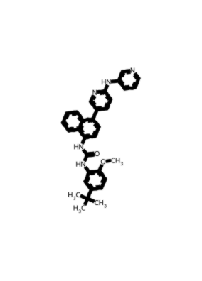 COc1ccc(C(C)(C)C)cc1NC(=O)Nc1ccc(-c2ccc(Nc3cccnc3)nc2)c2ccccc12